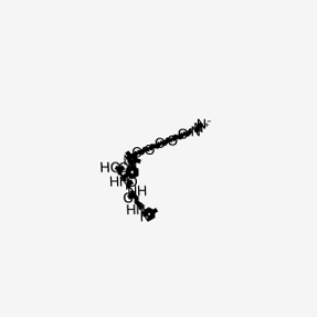 Cc1ccnc(NCCCC(=O)NCC(=O)N[C@@H](CC(=O)O)c2cccc(-n3nc(C)c(OCCOCCOCCOCCOCCN=[N+]=[N-])c3C)c2)c1